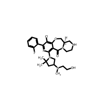 CN(CCO)C1CN(c2nc(-c3ccccc3F)c(Cl)c3c2C(=O)N2CCNC[C@@H]2CO3)C(C)(C)C1